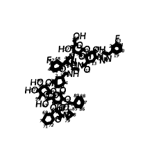 CC1CC(C(=O)NCCNC(=O)C2CC(n3cc(-c4cccc(F)c4)nn3)C(O)[C@H](O[C@@H]3OC(CO)[C@H](O)C(n4cc(-c5cccc(F)c5)nn4)C3O)C2)C[C@@H](O[C@@H]2OC(CO)[C@H](O)C(O[C@@H](CC3CCCCC3)C(=O)N3CCC3)C2OC(=O)c2ccccc2)C1O[C@@H]1OC(C)[C@@H](O)C(O)C1O